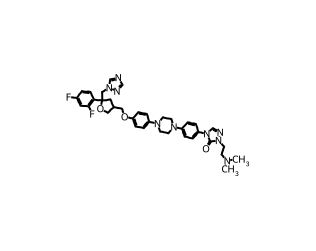 CN(C)CCn1ncn(-c2ccc(N3CCN(c4ccc(OCC5COC(Cn6cncn6)(c6ccc(F)cc6F)C5)cc4)CC3)cc2)c1=O